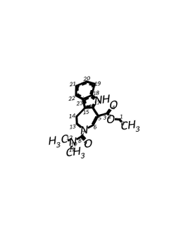 CCOC(=O)C1=CN(C(=O)N(C)C)CCc2c1[nH]c1ccccc21